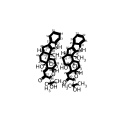 CC(C)(O)[C@H]1O[C@H]2CC[C@@]3(C)[C@@](O)(CC[C@H]4Cc5c([nH]c6ccccc56)[C@@]43C)C2=CC1=O.CC(C)(O)[C@H]1O[C@H]2CC[C@@]3(C)[C@@](O)(CC[C@H]4Cc5c([nH]c6ccccc56)[C@@]43C)C2=CC1=O